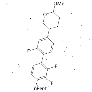 CCCCCc1ccc(-c2ccc(C3CCC(OC)OC3)cc2F)c(F)c1F